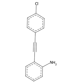 Nc1ccccc1C#Cc1ccc(Cl)cc1